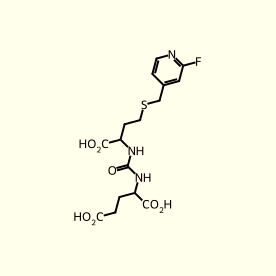 O=C(O)CCC(NC(=O)NC(CCSCc1ccnc(F)c1)C(=O)O)C(=O)O